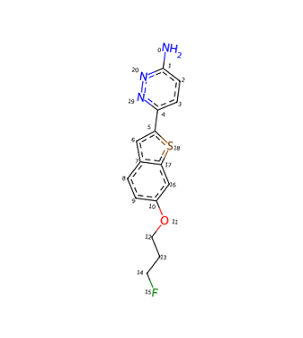 Nc1ccc(-c2cc3ccc(OCCCF)cc3s2)nn1